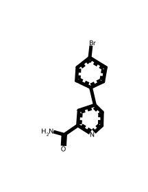 NC(=O)c1[c]c(-c2ccc(Br)cc2)ccn1